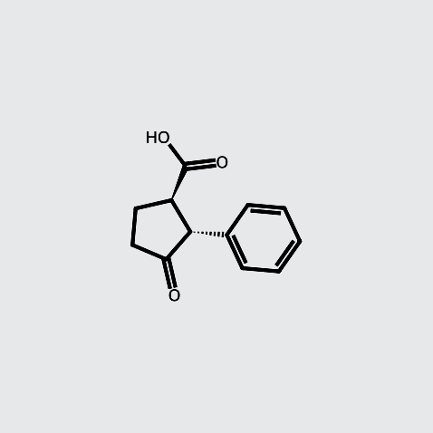 O=C(O)[C@@H]1CCC(=O)[C@H]1c1ccccc1